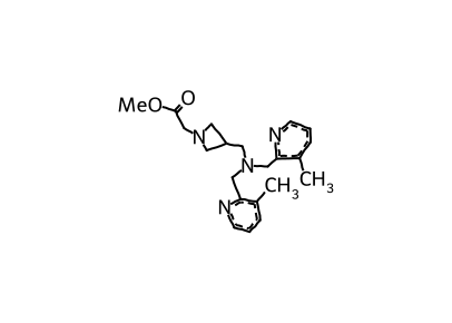 COC(=O)CN1CC(CN(Cc2ncccc2C)Cc2ncccc2C)C1